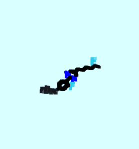 CCCCCCCCCCc1ccc(-c2ncc(CCCCC(C)F)cn2)c(F)c1